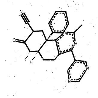 Cc1nc(-c2cncnc2)c2c(n1)[C@@]1(c3ccccc3)CC(C#N)C(=O)[C@@H](C)[C@@H]1CC2